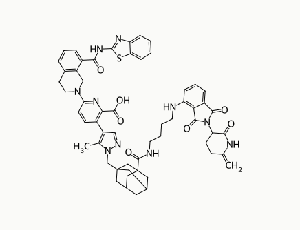 C=C1CCC(N2C(=O)c3cccc(NCCCCNC(=O)C45CC6CC(CC(Cn7ncc(-c8ccc(N9CCc%10cccc(C(=O)Nc%11nc%12ccccc%12s%11)c%10C9)nc8C(=O)O)c7C)(C6)C4)C5)c3C2=O)C(=O)N1